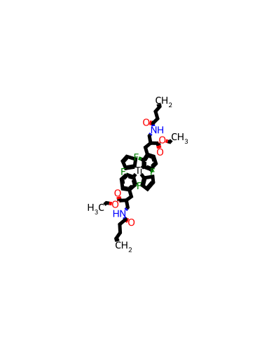 C=CCCC(=O)NCC(Cc1ccc(F)[c]([Ti]([C]2=CC=CC2)([C]2=CC=CC2)[c]2c(F)ccc(CC(CNC(=O)CCC=C)C(=O)OCC)c2F)c1F)C(=O)OCC